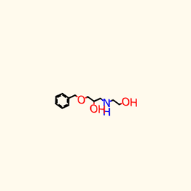 OCCNC[C@@H](O)COCc1ccccc1